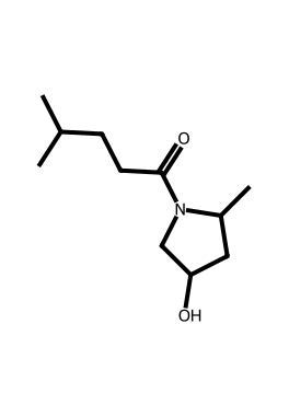 CC(C)CCC(=O)N1CC(O)CC1C